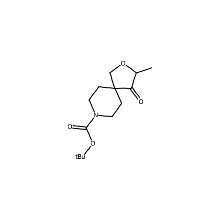 CC1OCC2(CCN(C(=O)OC(C)(C)C)CC2)C1=O